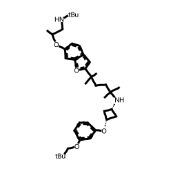 CC(CNC(C)(C)C)Oc1ccc2cc(C(C)(C)CCC(C)(C)N[C@H]3C[C@@H](Oc4cccc(OCC(C)(C)C)c4)C3)oc2c1